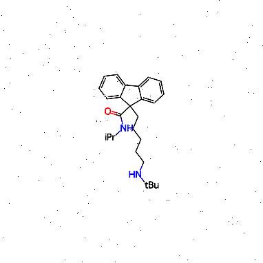 CC(C)NC(=O)C1(CCCCCNC(C)(C)C)c2ccccc2-c2ccccc21